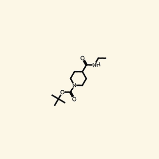 CCNC(=O)C1CCN(C(=O)OC(C)(C)C)CC1